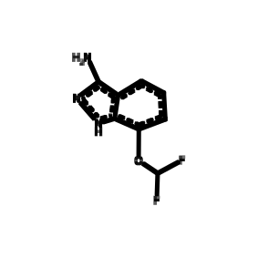 Nc1n[nH]c2c(OC(F)F)cccc12